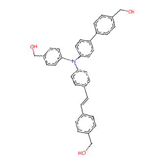 OCc1ccc(C=Cc2ccc(N(c3ccc(CO)cc3)c3ccc(-c4ccc(CO)cc4)cc3)cc2)cc1